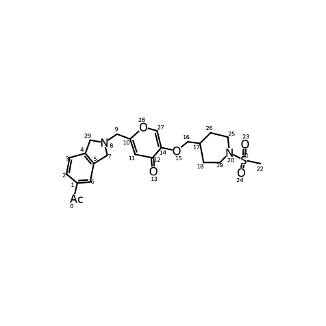 CC(=O)c1ccc2c(c1)CN(Cc1cc(=O)c(OCC3CCN(S(C)(=O)=O)CC3)co1)C2